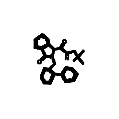 CC(C)(C)CNC(=O)C1c2ccccc2C(=O)N1Cc1ccccc1-c1ccccc1